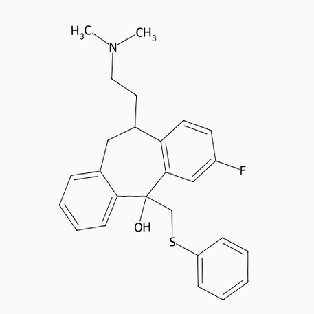 CN(C)CCC1Cc2ccccc2C(O)(CSc2ccccc2)c2cc(F)ccc21